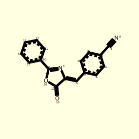 N#Cc1ccc(/C=C2\N=C(c3ccccc3)OC2=O)cc1